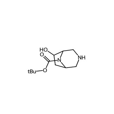 CC(C)(C)OC(=O)N1C2CNCC1C(O)C2